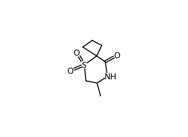 CC1CS(=O)(=O)C2(CCC2)C(=O)N1